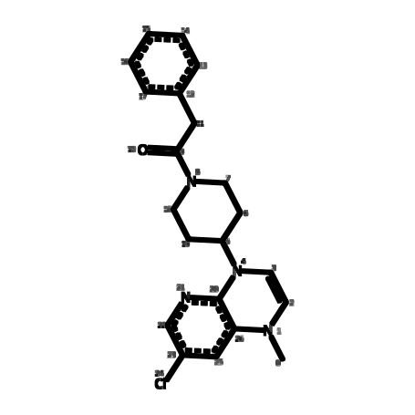 CN1C=CN(C2CCN(C(=O)Cc3ccccc3)CC2)c2ncc(Cl)cc21